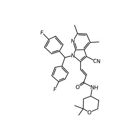 Cc1cc(C)c2c(C#N)c(/C=C/C(=O)NC3CCOC(C)(C)C3)n(C(c3ccc(F)cc3)c3ccc(F)cc3)c2n1